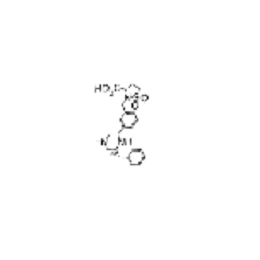 CN(C)C[C@H](Cc1ccccc1)NCc1cccc(CN2C(C(=O)O)CCS2(=O)=O)c1